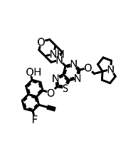 C#Cc1c(F)ccc2cc(O)cc(Oc3nc4c(N5CC6COCC(C5)N6)nc(OCC56CCCN5CCC6)nc4s3)c12